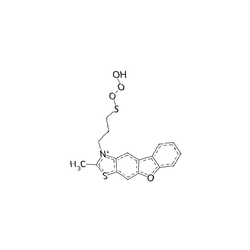 Cc1sc2cc3oc4ccccc4c3cc2[n+]1CCCSOOO